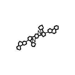 c1ccc2c(c1)ccc1cc(-c3ccc4c5cc6c(cc5n5c7ccccc7c3c45)c3ccc(-c4ccc5c(ccc7ccccc75)c4)c4c5ccccc5n6c34)ccc12